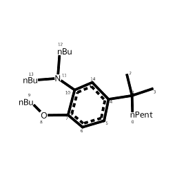 CCCCCC(C)(C)c1ccc(OCCCC)c(N(CCCC)CCCC)c1